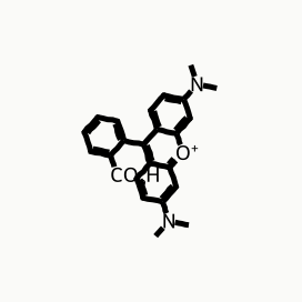 CN(C)c1ccc2c(-c3ccccc3C(=O)O)c3ccc(N(C)C)cc3[o+]c2c1